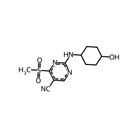 CS(=O)(=O)c1nc(NC2CCC(O)CC2)ncc1C#N